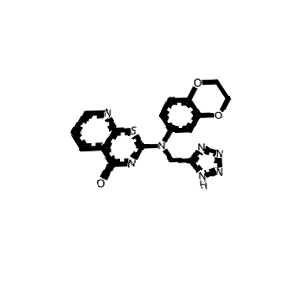 O=c1nc(N(Cc2nnn[nH]2)c2ccc3c(c2)OCCO3)sc2ncccc12